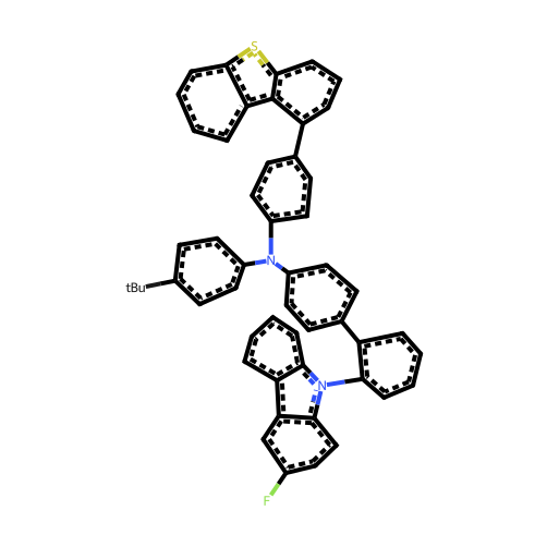 CC(C)(C)c1ccc(N(c2ccc(-c3ccccc3-n3c4ccccc4c4cc(F)ccc43)cc2)c2ccc(-c3cccc4sc5ccccc5c34)cc2)cc1